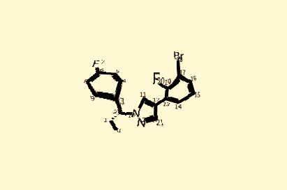 CC[C@H](c1ccc(F)cc1)n1cc(-c2cccc(Br)c2F)cn1